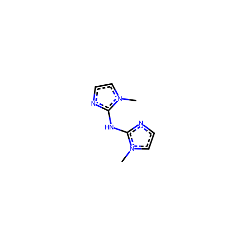 Cn1ccnc1Nc1nccn1C